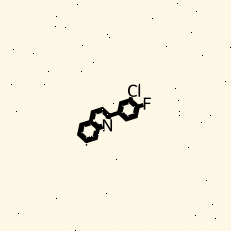 Fc1ccc(-c2ccc3cc[c]cc3n2)cc1Cl